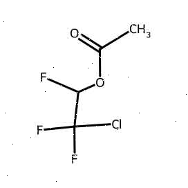 CC(=O)OC(F)C(F)(F)Cl